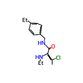 CCN/C(C(=O)NCc1ccc(CC)cc1)=C(\C)Cl